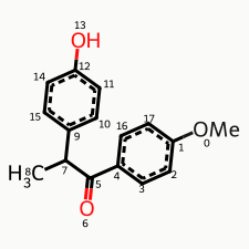 COc1ccc(C(=O)C(C)c2ccc(O)cc2)cc1